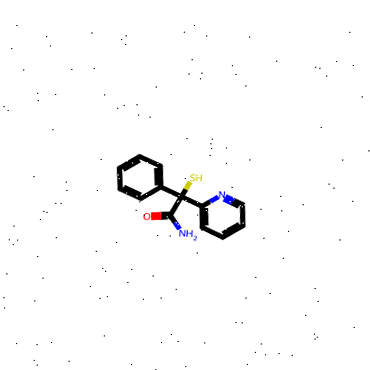 NC(=O)C(S)(c1ccccc1)c1ccccn1